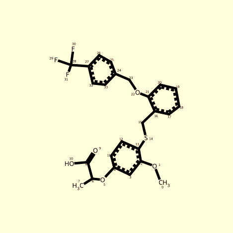 COc1cc(OC(C)C(=O)O)ccc1SCc1ccccc1OCc1ccc(C(F)(F)F)cc1